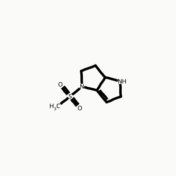 CS(=O)(=O)N1CCC2NCC=C21